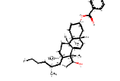 CC(C)CCC[C@@H](C)[C@H]1C[C@H](O)[C@@]2(C)C3=CC[C@H]4C[C@@H](OC(=O)c5ccccc5)CC[C@]4(C)[C@H]3CC[C@]12C